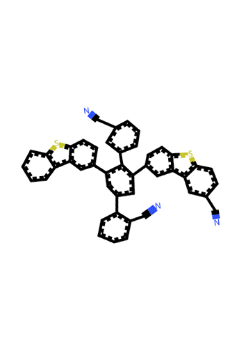 N#Cc1cccc(-c2c(-c3ccc4sc5ccccc5c4c3)cc(-c3ccccc3C#N)cc2-c2ccc3sc4ccc(C#N)cc4c3c2)c1